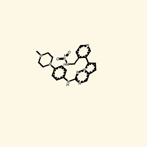 CN1CCN(c2ccc(Nc3ncc4ccc(-c5cnccc5CN[SH](=O)=O)n4n3)cc2)CC1